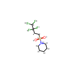 O=S(=O)(CCC(F)(F)C(F)F)N1CCCCC1